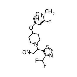 C=N/C(F)=C\C(=C/C)OC1CCN(C(CN=O)c2scnc2C(F)F)CC1